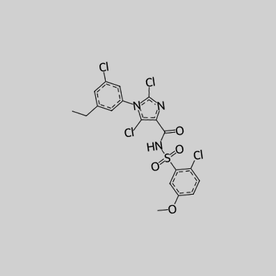 CCc1cc(Cl)cc(-n2c(Cl)nc(C(=O)NS(=O)(=O)c3cc(OC)ccc3Cl)c2Cl)c1